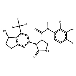 CN(C(=O)[C@@H]1CNC(=O)N1c1cc(C(F)(F)F)c2c(n1)CC[C@H]2O)c1ccc(F)c(Cl)c1F